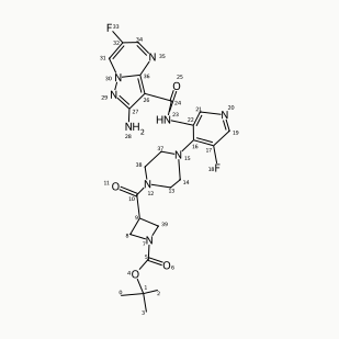 CC(C)(C)OC(=O)N1CC(C(=O)N2CCN(c3c(F)cncc3NC(=O)c3c(N)nn4cc(F)cnc34)CC2)C1